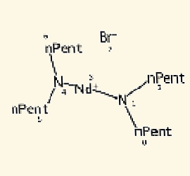 CCCCC[N](CCCCC)[Nd+][N](CCCCC)CCCCC.[Br-]